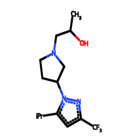 CC(O)CN1CCC(n2nc(C(F)(F)F)cc2C(C)C)C1